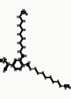 CCCCCCCCCCOc1ccc(C(C)=O)cc1OCCCCCCCCCC